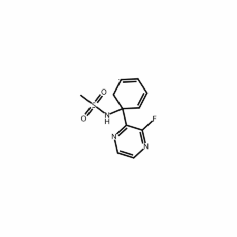 CS(=O)(=O)NC1(c2nccnc2F)C=CC=[C]C1